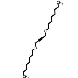 CCCCCCCCOCC#CCOCCCCCCCC